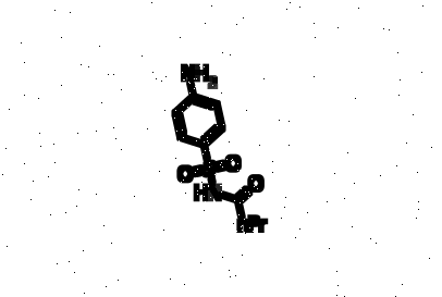 CCCC(=O)NS(=O)(=O)c1ccc(N)cc1